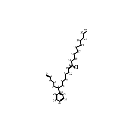 C=CCCCC(CCCCCC=C(Cl)CCCCCCCCCC)c1ccccc1